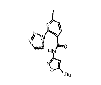 Cc1ccc(C(=O)Nc2cc(C(C)(C)C)on2)c(-n2ccnn2)n1